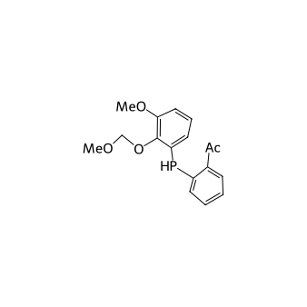 COCOc1c(OC)cccc1Pc1ccccc1C(C)=O